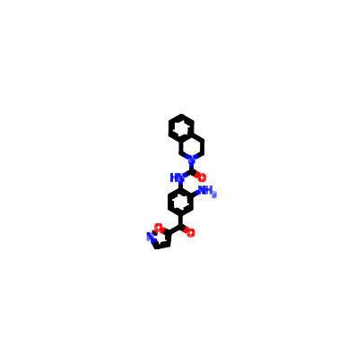 Nc1cc(C(=O)c2ccno2)ccc1NC(=O)N1CCc2ccccc2C1